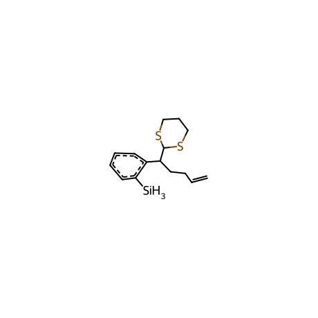 C=CCCC(c1ccccc1[SiH3])C1SCCCS1